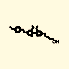 CCc1ccc(CCc2ccc(-c3ccc(CCCCCO)cc3CC)c(CC)c2)cc1